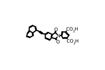 O=C(O)c1cc(C(=O)O)cc(N2C(=O)c3ccc(C#Cc4cccc5ccccc45)cc3C2=O)c1